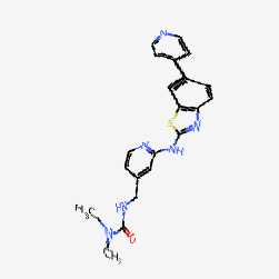 CN(C)C(=O)NCc1ccnc(Nc2nc3ccc(-c4ccncc4)cc3s2)c1